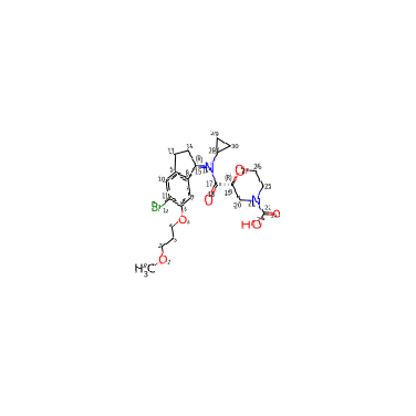 COCCCOc1cc2c(cc1Br)CC[C@H]2N(C(=O)[C@H]1CN(C(=O)O)CCO1)C1CC1